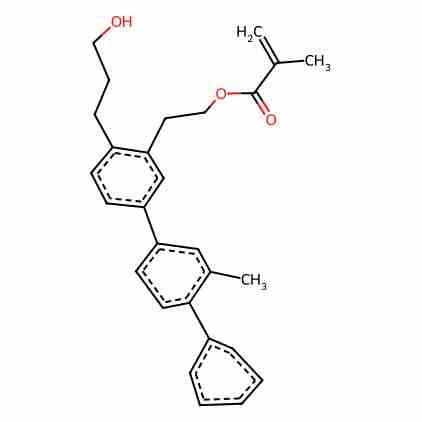 C=C(C)C(=O)OCCc1cc(-c2ccc(-c3ccccc3)c(C)c2)ccc1CCCO